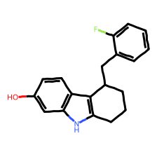 Oc1ccc2c3c([nH]c2c1)CCCC3Cc1ccccc1F